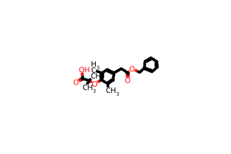 Cc1cc(CC(=O)OCc2ccccc2)cc(C)c1OC(C)(C)C(=O)O